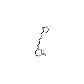 C1COC(COCCC[SiH]2CCO[SiH2][SiH2]2)C1